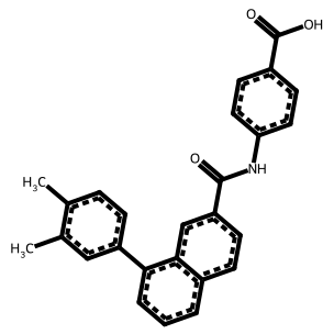 Cc1ccc(-c2cccc3ccc(C(=O)Nc4ccc(C(=O)O)cc4)cc23)cc1C